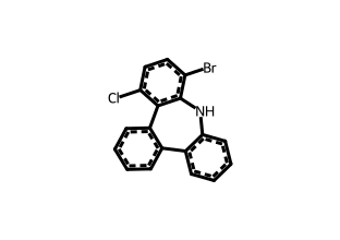 Clc1ccc(Br)c2c1-c1ccccc1-c1ccccc1N2